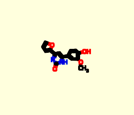 COc1cc(-c2cc(-c3ccco3)nc(=O)[nH]2)ccc1O